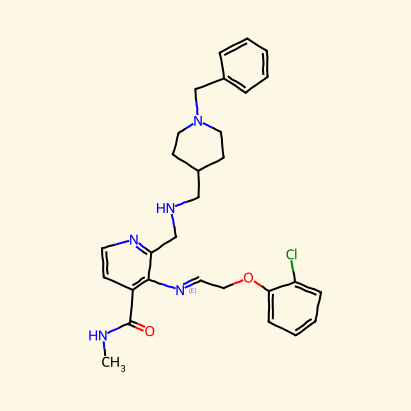 CNC(=O)c1ccnc(CNCC2CCN(Cc3ccccc3)CC2)c1/N=C/COc1ccccc1Cl